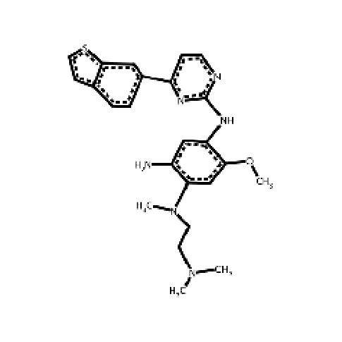 COc1cc(N(C)CCN(C)C)c(N)cc1Nc1nccc(-c2ccc3ccsc3c2)n1